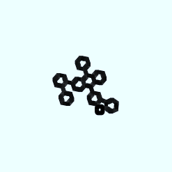 c1ccc(-c2ccccc2-c2ccc3c(-c4ccc5oc6ccccc6c5c4)c4ccccc4c(-c4ccccc4)c3c2)cc1